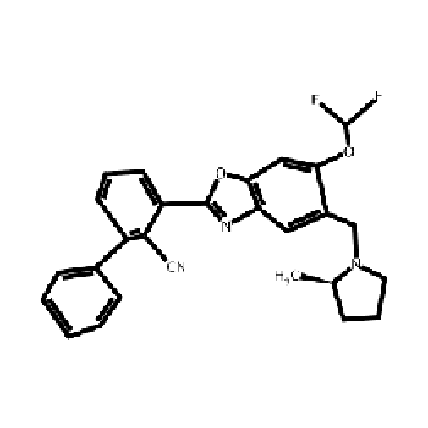 C[C@@H]1CCCN1Cc1cc2nc(-c3cccc(-c4ccccc4)c3C#N)oc2cc1OC(F)F